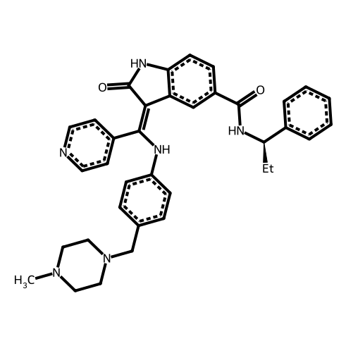 CC[C@@H](NC(=O)c1ccc2c(c1)C(=C(Nc1ccc(CN3CCN(C)CC3)cc1)c1ccncc1)C(=O)N2)c1ccccc1